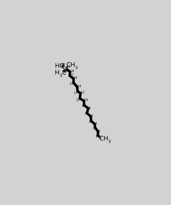 CCCCCCCCCCCCCCCCCCC[Si](C)(C)O